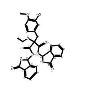 CCOC(Cc1ccc(OC)c(Cl)c1)(C(=O)OC1OC(=O)c2ccccc21)C(=O)OC1OC(=O)c2ccccc21